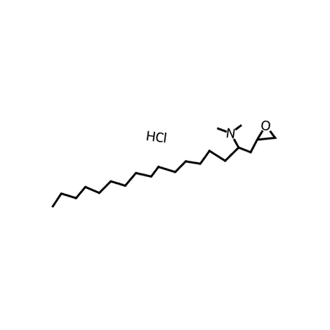 CCCCCCCCCCCCCCCC(CC1CO1)N(C)C.Cl